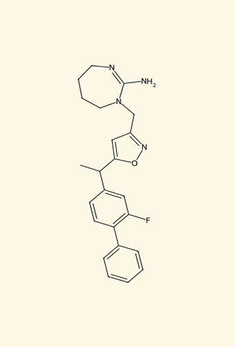 CC(c1ccc(-c2ccccc2)c(F)c1)c1cc(CN2CCCCN=C2N)no1